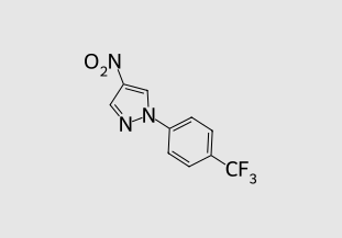 O=[N+]([O-])c1cnn(-c2ccc(C(F)(F)F)cc2)c1